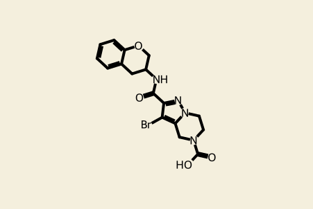 O=C(NC1COc2ccccc2C1)c1nn2c(c1Br)CN(C(=O)O)CC2